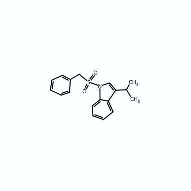 CC(C)c1cn(S(=O)(=O)Cc2ccccc2)c2ccccc12